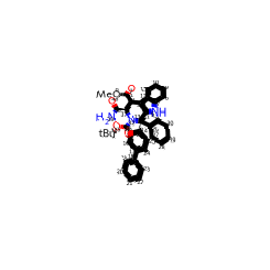 COC(=O)C1c2c([nH]c3ccccc23)[C@@](c2ccc(-c3ccccc3)cc2)(C2CCCCC2)N(C(=O)OC(C)(C)C)[C@H]1C(N)=O